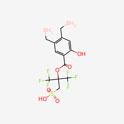 BCc1cc(O)c(C(=O)OC(CS(=O)(=O)O)(C(F)(F)F)C(F)(F)F)cc1CB